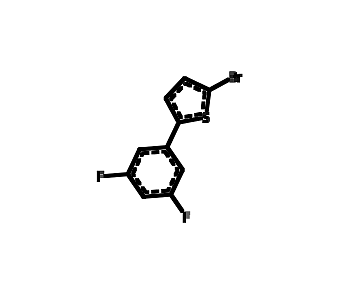 Fc1cc(F)cc(-c2ccc(Br)s2)c1